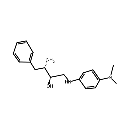 CN(C)c1ccc(NC[C@@H](O)[C@@H](N)Cc2ccccc2)cc1